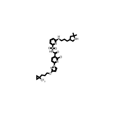 CC1(C)CC(CCCNc2cccc(S(=O)(=O)NC(=O)c3ccc(-n4ccc(OCCCC5(C(F)(F)F)CC5)n4)nc3Cl)n2)CN1